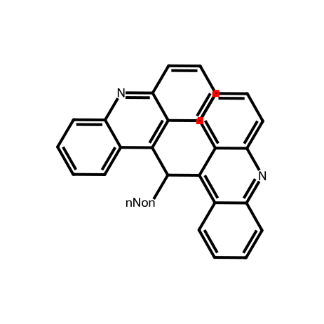 CCCCCCCCCC(c1c2ccccc2nc2ccccc12)c1c2ccccc2nc2ccccc12